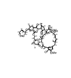 COc1cc2cc(c1Cl)N(C)C(=O)C[C@H](OC(=O)[C@H](C)N(C)C(=O)CCOC(=O)NC(CN(C)C(=O)OC1/C=C/COCOC1)C(=O)ON1C(=O)CCC1=O)[C@]1(C)C[C@H]1[C@H](C)[C@@H]1C[C@@](O)(NC(=O)O1)[C@H](O)/C=C/C=C(\C)C2